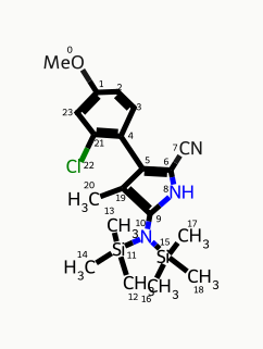 COc1ccc(-c2c(C#N)[nH]c(N([Si](C)(C)C)[Si](C)(C)C)c2C)c(Cl)c1